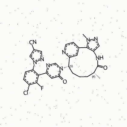 C[C@@H]1CCC[C@H](n2cnc(-c3c(-n4cc(C#N)cn4)ccc(Cl)c3F)cc2=O)c2cc(ccn2)-c2c(cnn2C)NC1=O